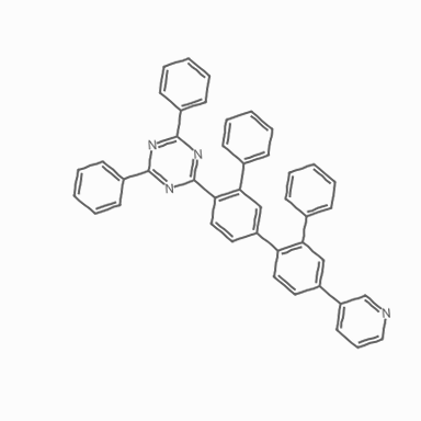 c1ccc(-c2nc(-c3ccccc3)nc(-c3ccc(-c4ccc(-c5cccnc5)cc4-c4ccccc4)cc3-c3ccccc3)n2)cc1